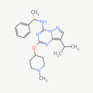 CC(C)c1cnn2c(N[C@@H](C)c3ccccc3)nc(OC3CCN(C)CC3)nc12